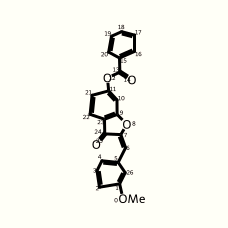 COc1cccc(C=C2Oc3cc(OC(=O)c4ccccc4)ccc3C2=O)c1